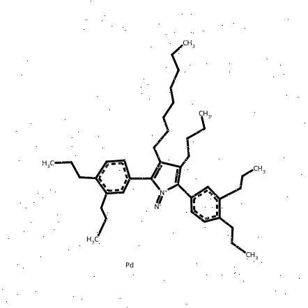 CCCCCCCCC1=C(c2ccc(CCC)c(CCC)c2)[N+](=[N-])C(c2ccc(CCC)c(CCC)c2)=C1CCCC.[Pd]